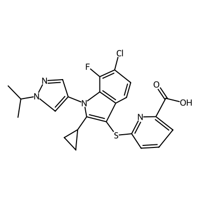 CC(C)n1cc(-n2c(C3CC3)c(Sc3cccc(C(=O)O)n3)c3ccc(Cl)c(F)c32)cn1